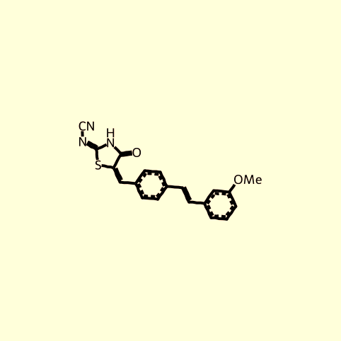 COc1cccc(C=Cc2ccc(C=C3SC(=NC#N)NC3=O)cc2)c1